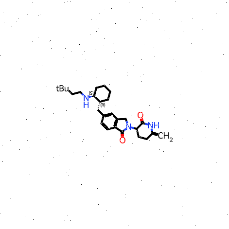 C=C1CCC(N2Cc3cc(C[C@H]4CCCC[C@@H]4NCCC(C)(C)C)ccc3C2=O)C(=O)N1